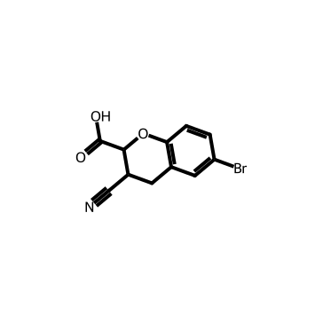 N#CC1Cc2cc(Br)ccc2OC1C(=O)O